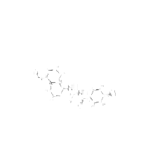 O=Nc1cccc2c(NC(=S)NC(=O)c3ccc(Cl)cc3)cccc12